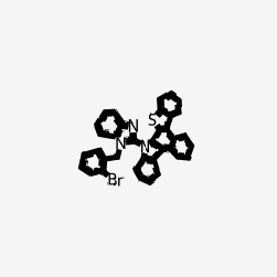 Brc1ccccc1Cn1c(-n2c3ccccc3c3c4ccccc4c4c5ccccc5sc4c32)nc2ccccc21